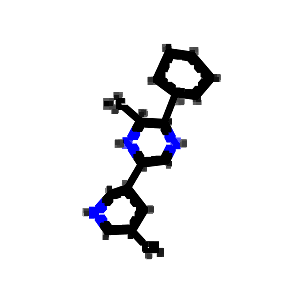 Cc1cncc(-c2cnc(-c3ccccc3)c(C)n2)c1